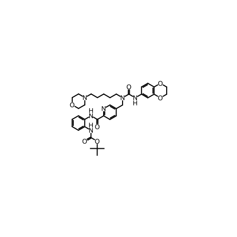 CC(C)(C)OC(=O)Nc1ccccc1NC(=O)c1ccc(CN(CCCCCN2CCOCC2)C(=O)Nc2ccc3c(c2)OCCO3)cn1